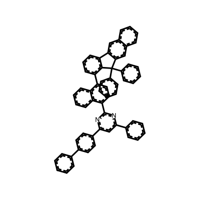 c1ccc(-c2ccc(-c3cc(-c4ccccc4)nc(-c4ccc(-c5cccc6c5C(c5ccccc5)(c5ccccc5)c5cc7ccccc7cc5-6)c5ccccc45)n3)cc2)cc1